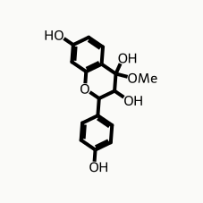 COC1(O)c2ccc(O)cc2OC(c2ccc(O)cc2)C1O